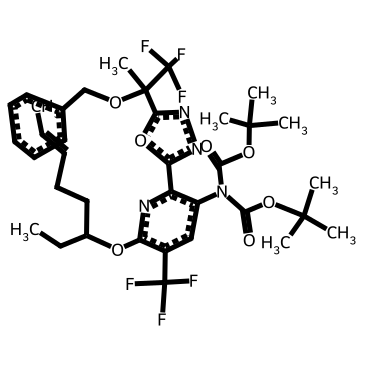 C/C=C/CCC(CC)Oc1nc(-c2nnc(C(C)(OCc3ccccc3)C(F)(F)F)o2)c(N(C(=O)OC(C)(C)C)C(=O)OC(C)(C)C)cc1C(F)(F)F